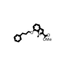 COC(=O)c1cc2cccc(OCCCc3ccccc3)c2n1C